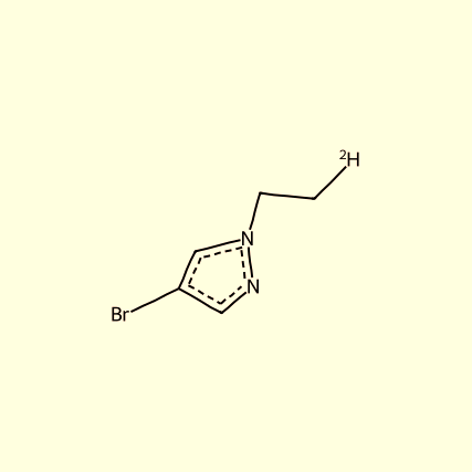 [2H]CCn1cc(Br)cn1